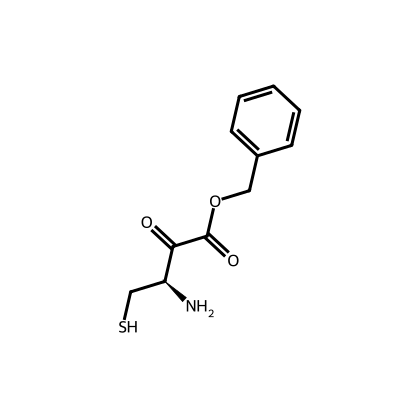 N[C@@H](CS)C(=O)C(=O)OCc1ccccc1